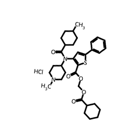 CC1CCC(C(=O)N(c2cc(-c3ccccc3)sc2C(=O)OCOC(=O)C2CCCCC2)C2CCN(C)CC2)CC1.Cl